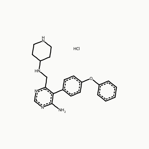 Cl.Nc1ncnc(CNC2CCNCC2)c1-c1ccc(Oc2ccccc2)cc1